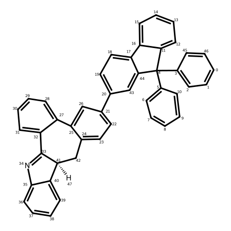 c1ccc(C2(c3ccccc3)c3ccccc3-c3ccc(-c4ccc5c(c4)-c4ccccc4C4=Nc6ccccc6[C@@H]4C5)cc32)cc1